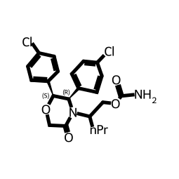 CCCC(COC(N)=O)N1C(=O)CO[C@@H](c2ccc(Cl)cc2)[C@H]1c1ccc(Cl)cc1